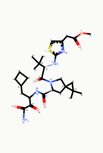 COC(=O)Cc1csc(N[C@H](C(=O)N2CC3(C[C@H]2C(=O)NC(CC2CCC2)C(=O)C(N)=O)CC3(C)C)C(C)(C)C)n1